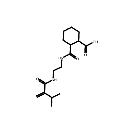 C=C(C(=O)NCCNC(=O)C1CCCCC1C(=O)O)C(C)C